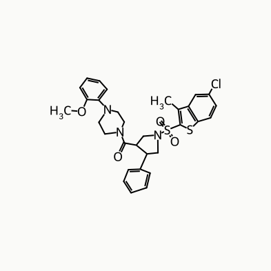 COc1ccccc1N1CCN(C(=O)C2CN(S(=O)(=O)c3sc4ccc(Cl)cc4c3C)CC2c2ccccc2)CC1